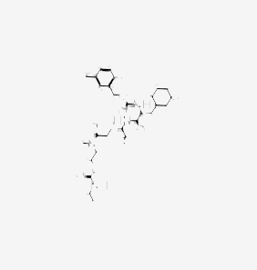 CCNC(=O)OCCN(C)C(=O)CC[C@@H](C=O)NC(=O)[C@H](CC1CCCCC1)NC(=O)OCc1cccc(Cl)c1